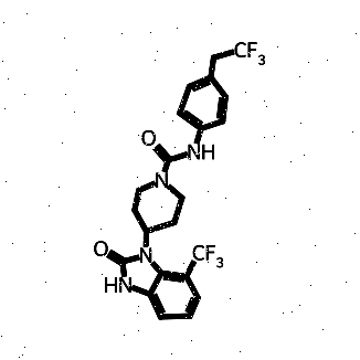 O=C(Nc1ccc(CC(F)(F)F)cc1)N1CCC(n2c(=O)[nH]c3cccc(C(F)(F)F)c32)CC1